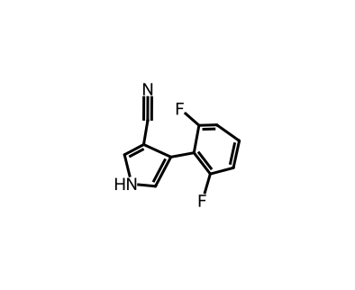 N#Cc1c[nH]cc1-c1c(F)cccc1F